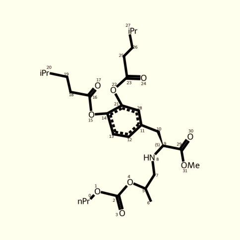 CCCOC(=O)OC(C)CN[C@@H](Cc1ccc(OC(=O)CCC(C)C)c(OC(=O)CCC(C)C)c1)C(=O)OC